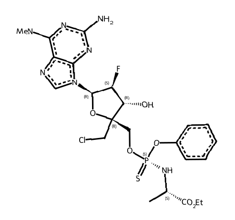 CCOC(=O)[C@H](C)N[P@](=S)(OC[C@@]1(CCl)O[C@@H](n2cnc3c(NC)nc(N)nc32)[C@@H](F)[C@@H]1O)Oc1ccccc1